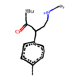 Cc1ccc(C(CNC(C)C)C(=O)C(C)(C)C)cc1